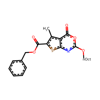 CCCCCCCCOc1nc2sc(C(=O)OCc3ccccc3)c(C)c2c(=O)o1